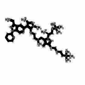 C=Cc1nn(C2CCCCO2)c2cnc(-c3c(C)nn(C)c3OCCN(C)Cc3c(I)c(OCOCC[Si](C)(C)C)nn3[C@@H](C)CO[Si](C)(C)C(C)(C)C)cc12